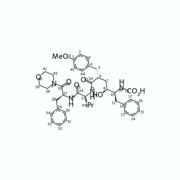 COc1ccc(C[C@H](C[C@H](O)[C@H](Cc2ccccc2)NC(=O)O)C(=O)N[C@H](C(=O)N[C@@H](Cc2ccccc2)C(=O)N2CCOCC2)C(C)C)cc1